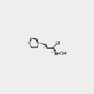 CCC(/C=C/c1ccncc1)=N\O